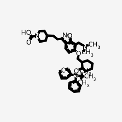 CN(C)Cc1c(OCC2CCCCC2O[Si](c2ccccc2)(c2ccccc2)C(C)(C)C)ccc2c(CCC3CCN(C(=O)O)CC3)noc12